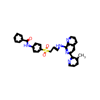 Cc1cccnc1-c1cc2cccnc2c(NC=CCS(=O)(=O)c2ccc(NC(=O)c3ccccc3)cc2)n1